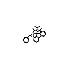 CC(C)[Si](C(C)C)(C(C)C)C1(COCc2ccccc2)c2ccccc2-c2ccccc21